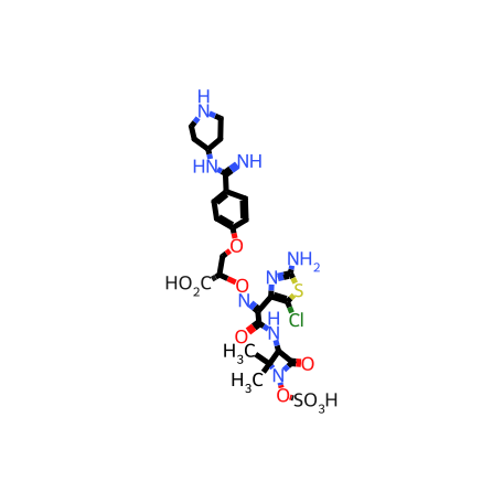 CC1(C)C(NC(=O)C(=NOC(COc2ccc(C(=N)NC3CCNCC3)cc2)C(=O)O)c2nc(N)sc2Cl)C(=O)N1OS(=O)(=O)O